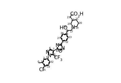 Cc1cc(-n2ncc(-c3nc(-c4ccc([C@H](O)CN5CCC[C@H](CC(=O)O)C5)cc4)no3)c2C(F)(F)F)ccc1Cl